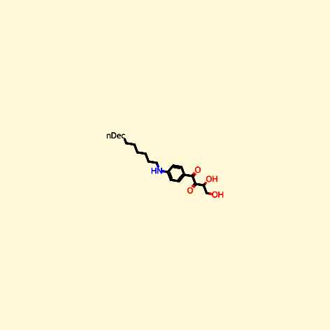 CCCCCCCCCCCCCCCCNc1ccc(C(=O)C(=O)C(O)CO)cc1